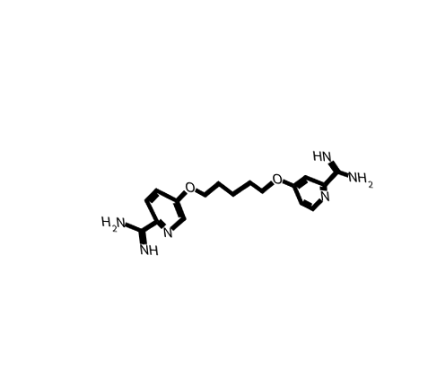 N=C(N)c1ccc(OCCCCCOc2ccnc(C(=N)N)c2)cn1